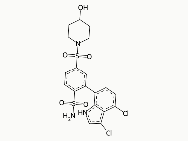 NS(=O)(=O)c1ccc(S(=O)(=O)N2CCC(O)CC2)cc1-c1ccc(Cl)c2c(Cl)c[nH]c12